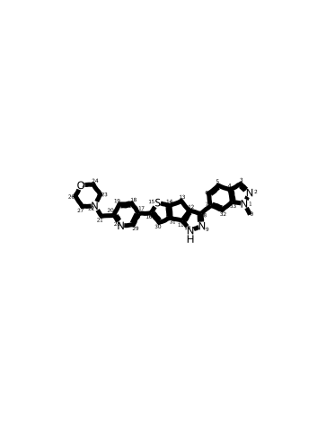 Cn1ncc2ccc(-c3n[nH]c4c3Cc3sc(-c5ccc(CN6CCOCC6)nc5)cc3-4)cc21